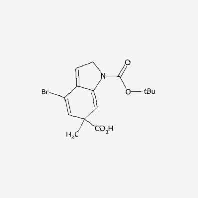 CC(C)(C)OC(=O)N1CC=C2C(Br)=CC(C)(C(=O)O)C=C21